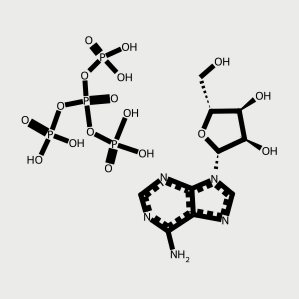 Nc1ncnc2c1ncn2[C@@H]1O[C@H](CO)[C@@H](O)[C@H]1O.O=P(O)(O)OP(=O)(OP(=O)(O)O)OP(=O)(O)O